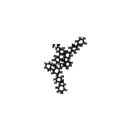 N#Cc1c(-n2c3ccccc3c3cc(-c4ccc(-c5ccccc5)nc4)ccc32)ccc(-c2cccc(C(F)(F)F)c2)c1-n1c2ccccc2c2cc(-c3ccc(-c4ccccc4)nc3)ccc21